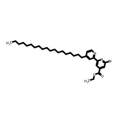 CCCCCCCCCCCCCCCCCCCc1ccnc(-c2cc(C(=O)OCC)cc(Br)n2)c1